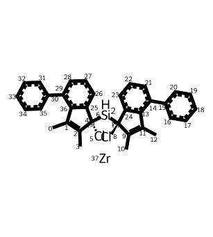 CC1=C(C)[C@](Cl)([SiH2][C@@]2(Cl)C(C)=C(C)c3c(-c4ccccc4)cccc32)c2cccc(-c3ccccc3)c21.[Zr]